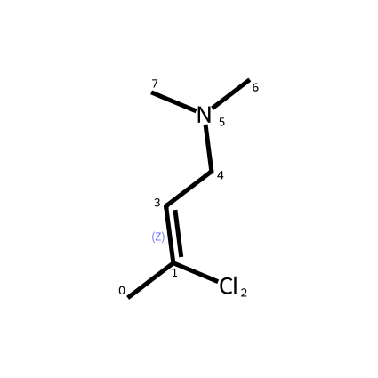 C/C(Cl)=C/CN(C)C